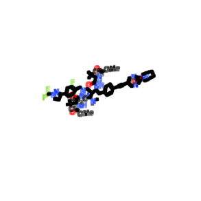 COC(=O)NC(C(=O)NC(Cc1ccc(C#Cc2cnc(N3CC4CCC(C3)N4C3COC3)nc2)cc1)C(CN(Cc1c(F)cc(-c2ccn(C(F)F)n2)cc1F)NC(=O)C(NC(=O)OC)C(C)(C)C(F)(F)F)C(C(=O)O)N(C)C)C(C)(C)C(F)(F)F